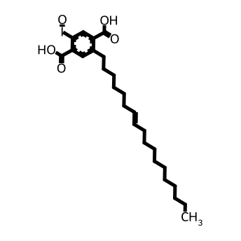 CCCCCCCCCCC=CCCCCCCc1cc(C(=O)O)c(I=O)cc1C(=O)O